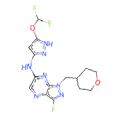 Fc1nn(CC2CCOCC2)c2nc(Nc3cc(OC(F)F)[nH]n3)cnc12